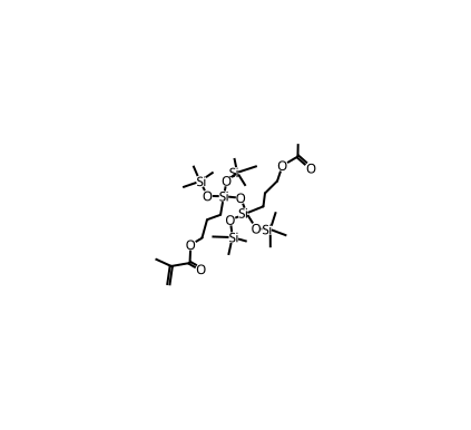 C=C(C)C(=O)OCCC[Si](O[Si](C)(C)C)(O[Si](C)(C)C)O[Si](CCCOC(C)=O)(O[Si](C)(C)C)O[Si](C)(C)C